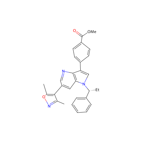 CC[C@H](c1ccccc1)n1cc(-c2ccc(C(=O)OC)cc2)c2ncc(-c3c(C)noc3C)cc21